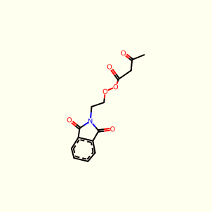 CC(=O)CC(=O)OOCCN1C(=O)c2ccccc2C1=O